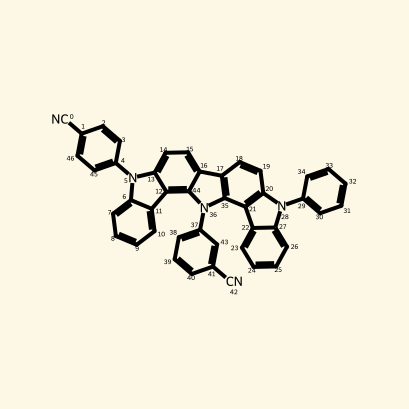 N#Cc1ccc(-n2c3ccccc3c3c2ccc2c4ccc5c(c6ccccc6n5-c5ccccc5)c4n(-c4cccc(C#N)c4)c23)cc1